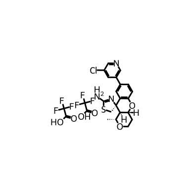 C[C@H]1OCC[C@H]2Oc3ccc(-c4cncc(Cl)c4)cc3[C@@]3(CSC(N)=N3)[C@H]12.O=C(O)C(F)(F)F.O=C(O)C(F)(F)F